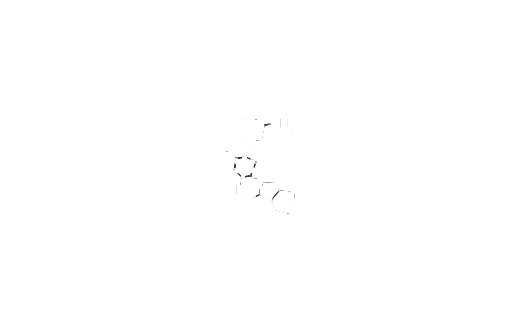 C=C(Cl)COc1cc(N2CC3=C(CCCC3)C2=O)c(F)cc1Cl